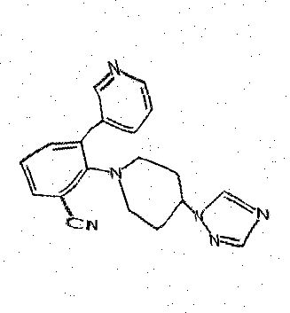 N#Cc1cccc(-c2cccnc2)c1N1CCC(n2cncn2)CC1